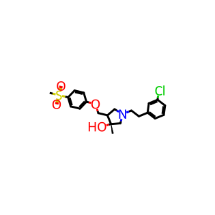 C[C@]1(O)CN(CCc2cccc(Cl)c2)CC1COc1ccc(S(C)(=O)=O)cc1